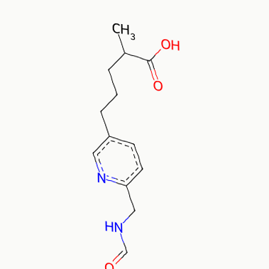 CC(CCCc1ccc(CNC=O)nc1)C(=O)O